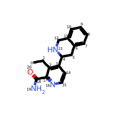 CCc1c(C2Cc3ccccc3CN2)ccnc1C(N)=O